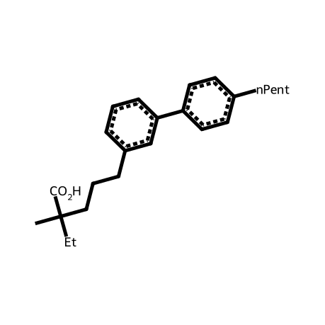 CCCCCc1ccc(-c2cccc(CCCC(C)(CC)C(=O)O)c2)cc1